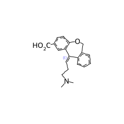 CN(C)CC/C=C1\c2ccccc2COc2ccc(C(=O)O)cc21